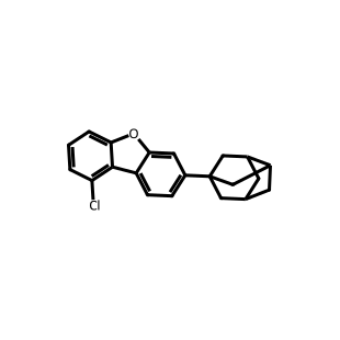 Clc1cccc2oc3cc(C45CC6CC(C4)C(C6)C5)ccc3c12